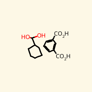 O=C(O)c1cccc(C(=O)O)c1.OC(O)C1CCCCC1